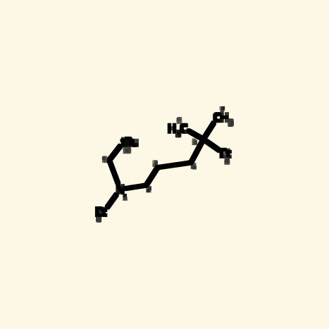 CCN(CCCC(C)(C)CC)CC(C)(C)C